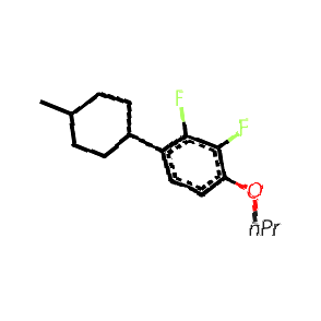 CCCOc1ccc(C2CCC(C)CC2)c(F)c1F